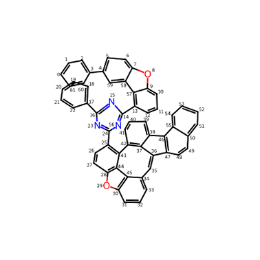 c1ccc(-c2ccc3oc4cccc(-c5nc(-c6ccccc6)nc(-c6ccc7oc8cccc9cc%10c%11c(cccc%11c6c7c98)-c6c-%10ccc7ccccc67)n5)c4c3c2)cc1